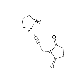 O=C1CCC(=O)N1CC#C[C@@H]1CCCN1